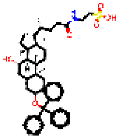 C[C@H](CCC(=O)NCCS(=O)(=O)O)[C@H]1CC[C@H]2[C@@H]3[C@@H](O)CC4C[C@H](OC(c5ccccc5)(c5ccccc5)c5ccccc5)CC[C@]4(C)[C@@]3(C)CC[C@]12C